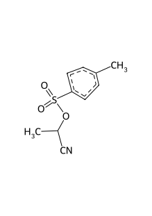 Cc1ccc(S(=O)(=O)OC(C)C#N)cc1